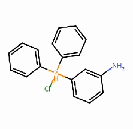 Nc1cccc([PH](Cl)(c2ccccc2)c2ccccc2)c1